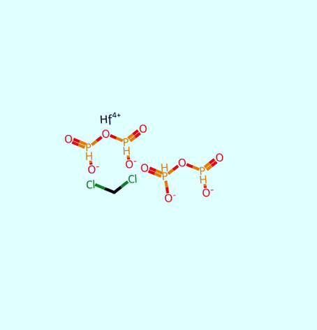 ClCCl.O=[PH]([O-])O[PH](=O)[O-].O=[PH]([O-])O[PH](=O)[O-].[Hf+4]